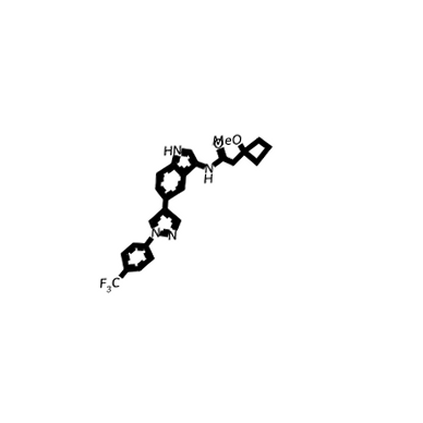 COC1(CC(=O)Nc2c[nH]c3ccc(-c4cnn(-c5ccc(C(F)(F)F)cc5)c4)cc23)CCC1